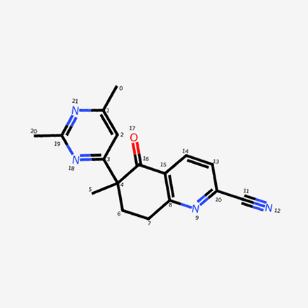 Cc1cc(C2(C)CCc3nc(C#N)ccc3C2=O)nc(C)n1